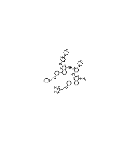 CN(C)CCOc1cccc(-c2cccc3c(N)nc(Nc4ccc(N5CCOCC5)nc4)nc23)c1.Nc1nc(Nc2ccc(N3CCOCC3)nc2)nc2c(-c3cccc(OCCN4CCOCC4)c3)cccc12